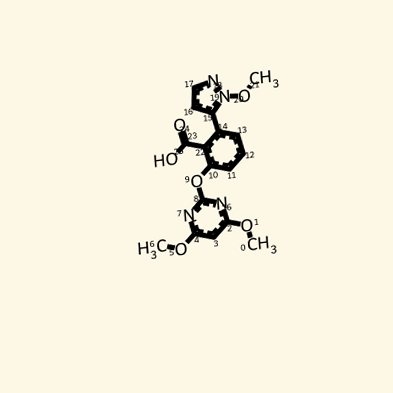 COc1cc(OC)nc(Oc2cccc(-c3ccnn3OC)c2C(=O)O)n1